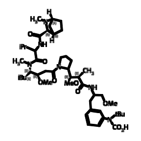 CC[C@H](C)[C@@H]([C@@H](CC(=O)N1CCCC1[C@H](OC)[C@@H](C)C(=O)NC(COC)Cc1cccc(N(C(=O)O)C(C)(C)C)c1)OC)N(C)C(=O)C(NC(=O)[C@@H]1[C@H]2CC[C@H](C2)N1C)C(C)C